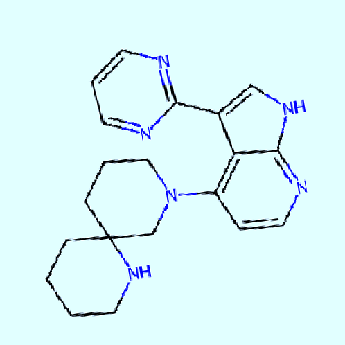 c1cnc(-c2c[nH]c3nccc(N4CCCC5(CCCCN5)C4)c23)nc1